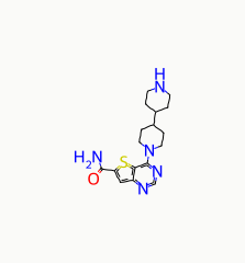 NC(=O)c1cc2ncnc(N3CCC(C4CCNCC4)CC3)c2s1